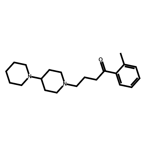 Cc1ccccc1C(=O)CCCN1CCC(N2CCCCC2)CC1